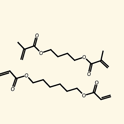 C=C(C)C(=O)OCCCCOC(=O)C(=C)C.C=CC(=O)OCCCCCCOC(=O)C=C